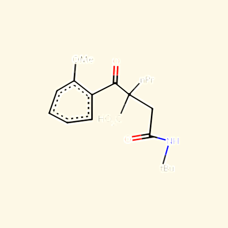 CCCC(CC(=O)NC(C)(C)C)(C(=O)O)C(=O)c1ccccc1OC